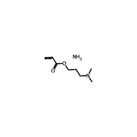 C=CC(=O)OCCCN(C)C.N